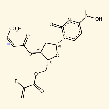 C=C(F)C(=O)OC[C@H]1O[C@@H](n2ccc(NO)nc2=O)C[C@@H]1OC(=O)/C=C\C(=O)O